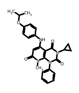 CC(C)Oc1ccc(Nc2cc(=O)n(C)c3c2c(=O)n(C2CC2)c(=O)n3-c2ccccc2)cc1